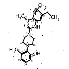 CCc1cc(NC(=O)N2CCN(c3c(C)cccc3O)CC2)c(OC)nc1C